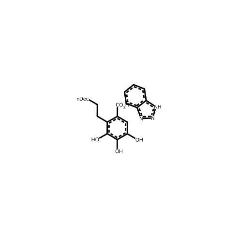 CCCCCCCCCCCCc1c(C(=O)O)cc(O)c(O)c1O.c1ccc2[nH]nnc2c1